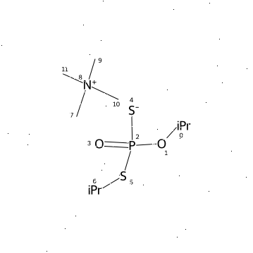 CC(C)OP(=O)([S-])SC(C)C.C[N+](C)(C)C